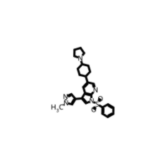 Cn1cc(-c2cn(S(=O)(=O)c3ccccc3)c3ncc(C4CCC(N5CCCC5)CC4)cc23)cn1